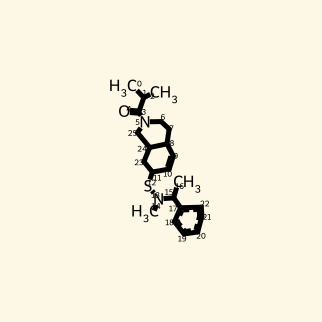 CC(C)C(=O)N1CCC2C=CC(SN(C)C(C)c3ccccc3)CC2C1